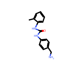 Cc1ccccc1NC(=O)Nc1ccc(CN)cc1